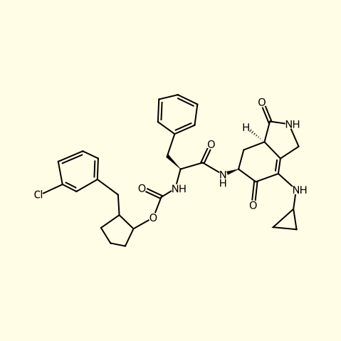 O=C(N[C@@H](Cc1ccccc1)C(=O)N[C@H]1C[C@H]2C(=O)NCC2=C(NC2CC2)C1=O)OC1CCCC1Cc1cccc(Cl)c1